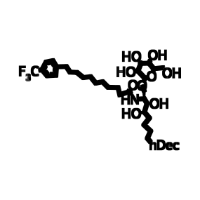 CCCCCCCCCCCCCC[C@@H](O)[C@@H](O)[C@H](COC1OC(CO)C(O)C(O)C1O)NC(=O)CCCCCCCCCCc1ccc(C(F)(F)F)cc1